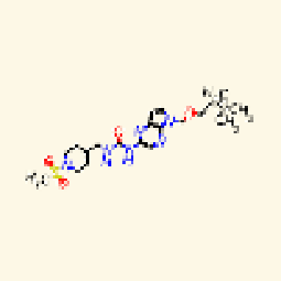 C[Si](C)(C)CCOCn1ccc2nc(NC(=O)NCC3CCN(S(C)(=O)=O)CC3)cnc21